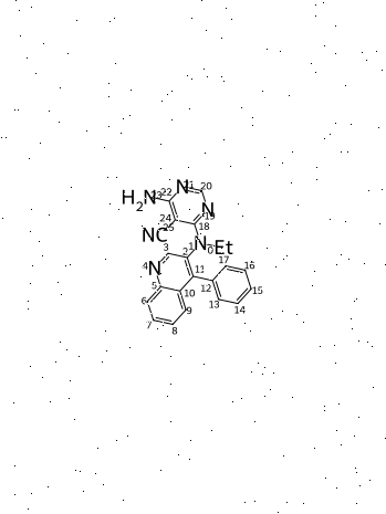 CCN(c1cnc2ccccc2c1-c1ccccc1)c1ncnc(N)c1C#N